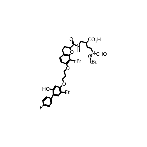 CCCc1c(OCCCOc2cc(O)c(-c3ccc(F)cc3)cc2CC)ccc2c1OC(C(=O)NCC(CCN(C=O)OC(C)(C)C)C(=O)O)CC2